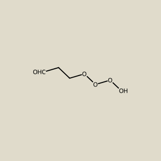 O=CCCOOOO